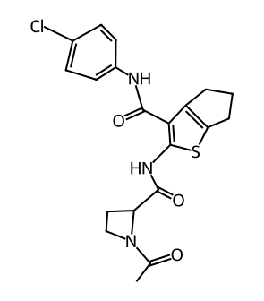 CC(=O)N1CCC1C(=O)Nc1sc2c(c1C(=O)Nc1ccc(Cl)cc1)CCC2